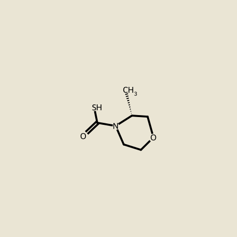 C[C@@H]1COCCN1C(=O)S